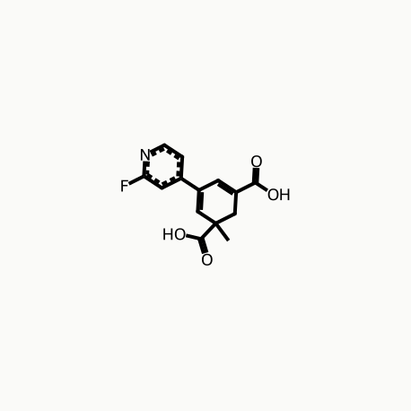 CC1(C(=O)O)C=C(c2ccnc(F)c2)C=C(C(=O)O)C1